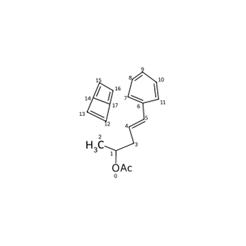 CC(=O)OC(C)CC=Cc1ccccc1.c1cc2ccc1-2